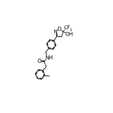 Cc1ccccc1CC(=O)NCc1ccc(C2=NOC(O)(C(F)(F)F)C2)cc1